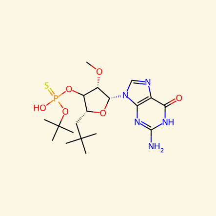 CO[C@H]1C(OP(O)(=S)OC(C)(C)C)[C@@H](CC(C)(C)C)O[C@H]1n1cnc2c(=O)[nH]c(N)nc21